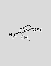 CC(=O)OC1CC2CC1C1C(C)C(C)CC21